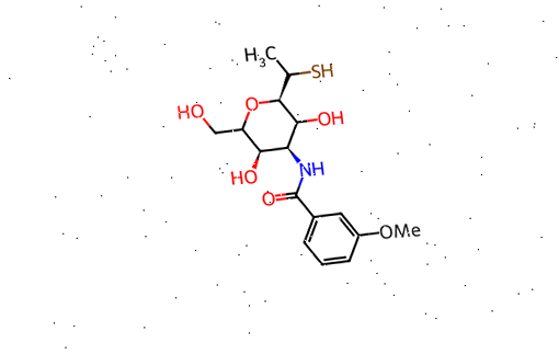 COc1cccc(C(=O)N[C@@H]2C(O)[C@H](C(C)S)OC(CO)[C@@H]2O)c1